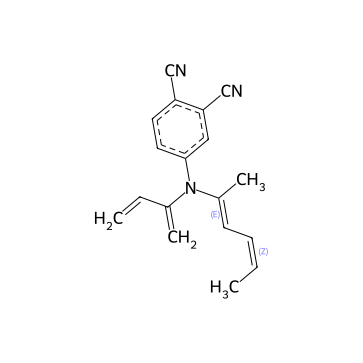 C=CC(=C)N(/C(C)=C/C=C\C)c1ccc(C#N)c(C#N)c1